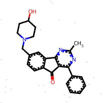 Cc1nc(-c2ccccc2)c2c(n1)-c1cc(CN3CCC(O)CC3)ccc1C2=O